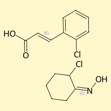 O/N=C1/CCCCC1Cl.O=C(O)/C=C/c1ccccc1Cl